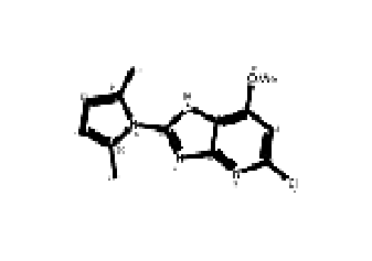 COc1cc(Cl)nc2nc(-n3c(C)ccc3C)sc12